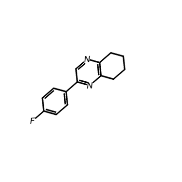 Fc1ccc(-c2cnc3c(n2)CCCC3)cc1